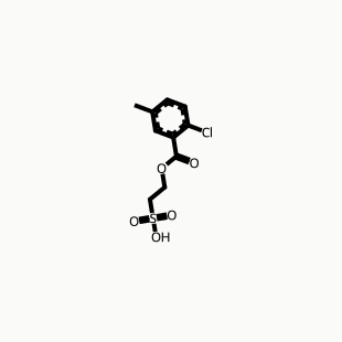 Cc1ccc(Cl)c(C(=O)OCCS(=O)(=O)O)c1